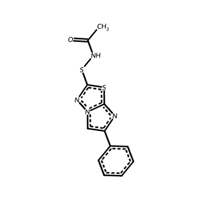 CC(=O)NSc1nn2cc(-c3ccccc3)nc2s1